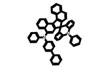 c1ccc(-c2ccc(N(c3ccccc3)c3cc4c(c5ccccc35)-c3c(ccc5ccccc35)C43c4ccccc4N(c4ccccc4)c4ccccc43)cc2)cc1